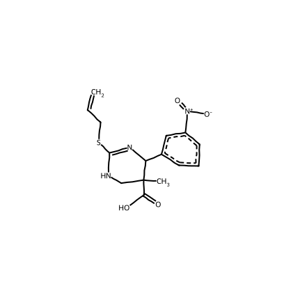 C=CCSC1=NC(c2cccc([N+](=O)[O-])c2)C(C)(C(=O)O)CN1